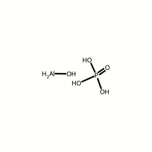 O=P(O)(O)O.[OH][AlH2]